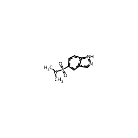 CN(C)S(=O)(=O)c1ccc2[nH]ncc2c1